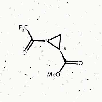 COC(=O)[C@@H]1CN1C(=O)C(F)(F)F